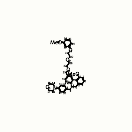 COc1cccc(CN(Cc2ccc(N3CCOCC3)cc2)c2ccc(COCCOCCOc3cccc(OC)c3)cn2)c1